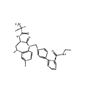 CCNC(=O)c1ccccc1-c1ccc(CN2C(=O)C(NC(=O)C(C)(C)N)CC(C)c3cc(F)ccc32)cc1